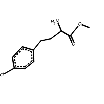 COC(=O)C(N)CCc1ccc(Cl)cc1